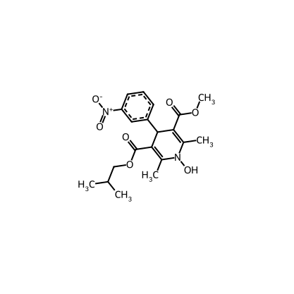 COC(=O)C1=C(C)N(O)C(C)=C(C(=O)OCC(C)C)C1c1cccc([N+](=O)[O-])c1